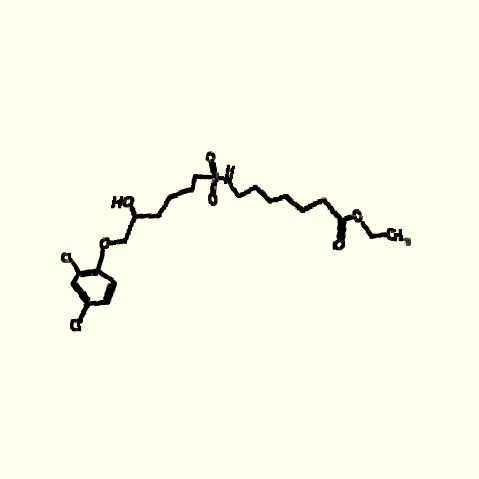 CCOC(=O)CCCCCCNS(=O)(=O)CCCCC(O)COc1ccc(Cl)cc1Cl